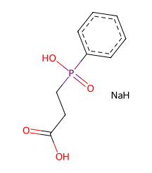 O=C(O)CCP(=O)(O)c1ccccc1.[NaH]